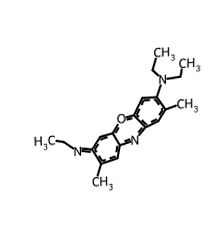 CCN=c1cc2oc3cc(N(CC)CC)c(C)cc3nc-2cc1C